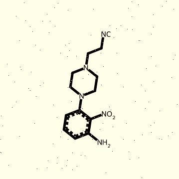 [C-]#[N+]CCN1CCN(c2cccc(N)c2[N+](=O)[O-])CC1